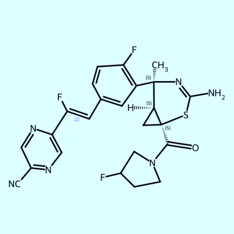 C[C@]1(c2cc(/C=C(\F)c3cnc(C#N)cn3)ccc2F)N=C(N)S[C@@]2(C(=O)N3CCC(F)C3)C[C@H]21